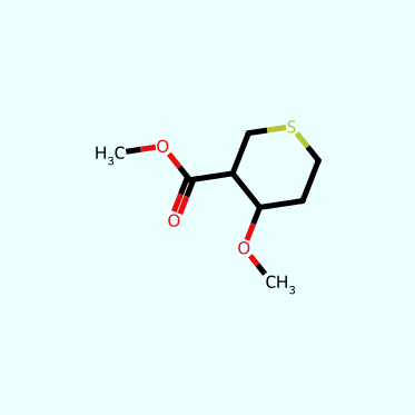 COC(=O)C1CSCCC1OC